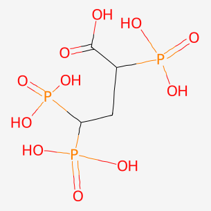 O=C(O)C(CC(P(=O)(O)O)P(=O)(O)O)P(=O)(O)O